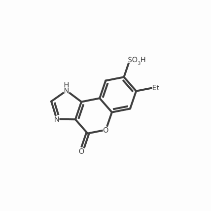 CCc1cc2oc(=O)c3nc[nH]c3c2cc1S(=O)(=O)O